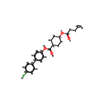 CCCC(=O)OC1CCC(C(=O)Oc2ccc(-c3ccc(F)cc3)cc2)CC1